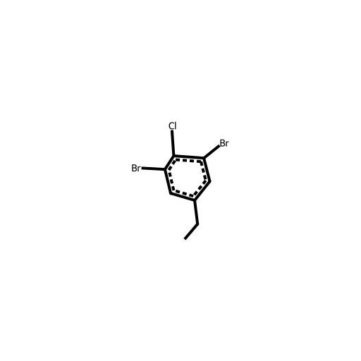 CCc1cc(Br)c(Cl)c(Br)c1